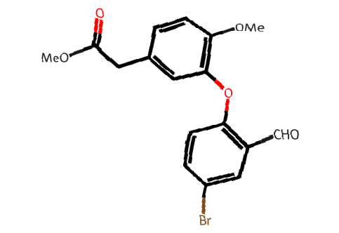 COC(=O)Cc1ccc(OC)c(Oc2ccc(Br)cc2C=O)c1